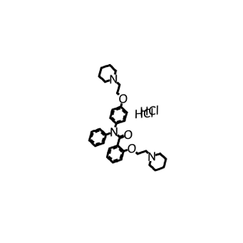 Cl.Cl.O=C(c1ccccc1OCCN1CCCCC1)N(c1ccccc1)c1ccc(OCCN2CCCCC2)cc1